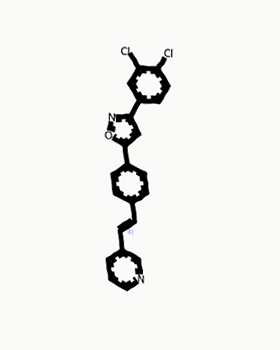 Clc1ccc(-c2cc(-c3ccc(/C=C/c4cccnc4)cc3)on2)cc1Cl